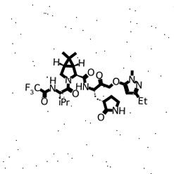 CCc1cc(OCC(=O)[C@H](C[C@@H]2CCNC2=O)NC(=O)[C@@H]2[C@@H]3[C@H](CN2C(=O)[C@@H](NC(=O)C(F)(F)F)C(C)C)C3(C)C)n(C)n1